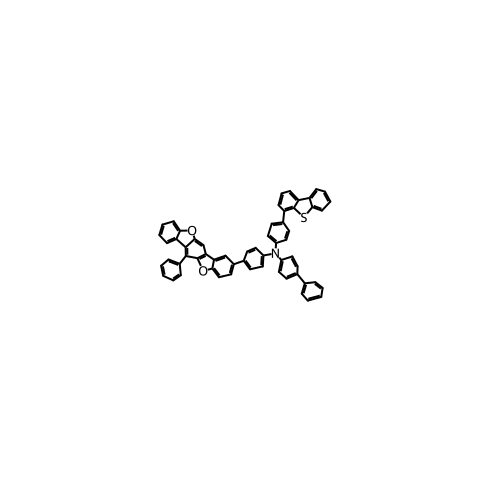 c1ccc(-c2ccc(N(c3ccc(-c4ccc5oc6c(-c7ccccc7)c7c(cc6c5c4)oc4ccccc47)cc3)c3ccc(-c4cccc5c4sc4ccccc45)cc3)cc2)cc1